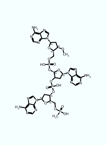 CO[C@@H]1C[C@H](n2cnc3c(N)ncnc32)O[C@@H]1COP(=O)(O)O[C@H]1O[C@@H](n2cnc3c(N)ncnc32)CC1OP(=O)(O)O[C@@H]1C[C@H](n2cnc3c(N)ncnc32)O[C@@H]1COP(C)(=O)O